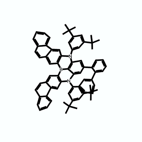 CC(C)(C)c1cc(N2c3cc4c(ccc5ccccc54)cc3B3c4cc5ccc6ccccc6c5cc4N(c4cc(C(C)(C)C)cc(C(C)(C)C)c4)c4cc(-c5ccccc5-c5ccccc5)cc2c43)cc(C(C)(C)C)c1